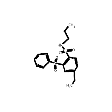 CCCNS(=O)(=O)c1ccc(CC)cc1S(=O)(=O)c1ccccc1